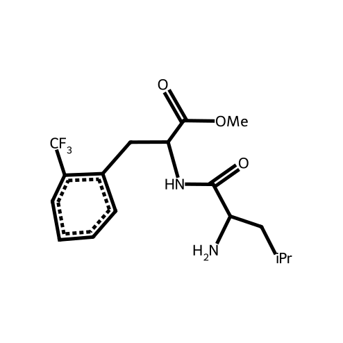 COC(=O)C(Cc1ccccc1C(F)(F)F)NC(=O)C(N)CC(C)C